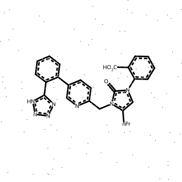 CCCc1cn(-c2ccccc2C(=O)O)c(=O)n1Cc1ccc(-c2ccccc2-c2nnn[nH]2)cn1